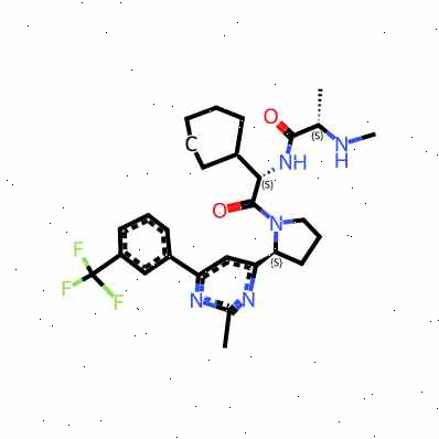 CN[C@@H](C)C(=O)N[C@H](C(=O)N1CCC[C@H]1c1cc(-c2cccc(C(F)(F)F)c2)nc(C)n1)C1CCCCC1